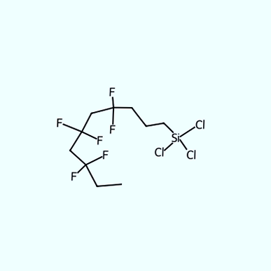 CCC(F)(F)CC(F)(F)CC(F)(F)CCC[Si](Cl)(Cl)Cl